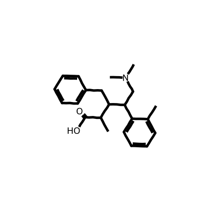 Cc1ccccc1C(CN(C)C)C(Cc1ccccc1)C(C)C(=O)O